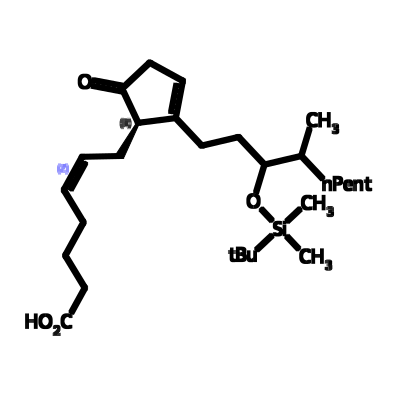 CCCCCC(C)C(CCC1=CCC(=O)[C@@H]1C/C=C\CCCC(=O)O)O[Si](C)(C)C(C)(C)C